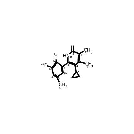 CC1=C(C(F)(F)F)C(C2CC2)=C(c2cc(C)cc(F)c2F)NN1